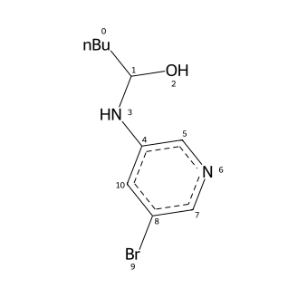 CCCCC(O)Nc1cncc(Br)c1